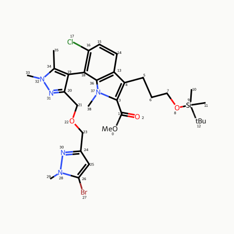 COC(=O)c1c(CCCO[Si](C)(C)C(C)(C)C)c2ccc(Cl)c(-c3c(COCc4cc(Br)n(C)n4)nn(C)c3C)c2n1C